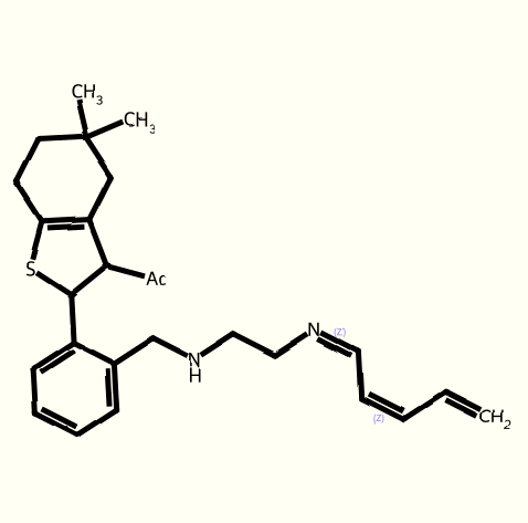 C=C/C=C\C=N/CCNCc1ccccc1C1SC2=C(CC(C)(C)CC2)C1C(C)=O